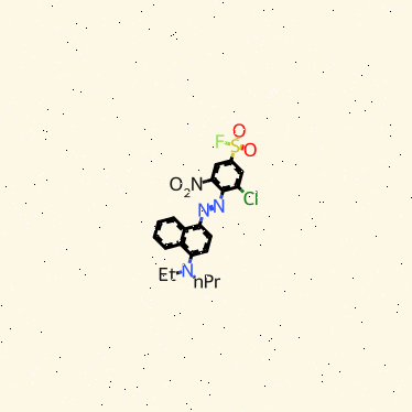 CCCN(CC)c1ccc(/N=N/c2c(Cl)cc(S(=O)(=O)F)cc2[N+](=O)[O-])c2ccccc12